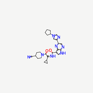 N#CC1CCN(C(=O)[C@H](NC(=O)c2c[nH]c3ncc(-c4cn(C5CCCC5)cn4)nc23)C2CC2)CC1